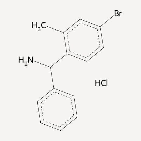 Cc1cc(Br)ccc1C(N)c1ccccc1.Cl